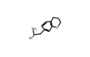 N#C[C@@H](N)Cc1ccc2c(c1)OCCC2